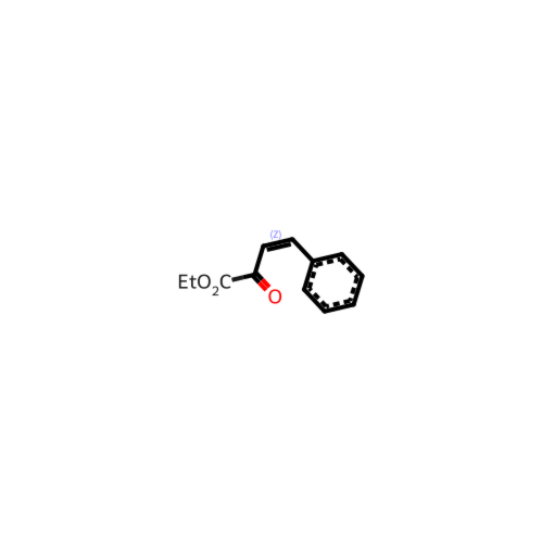 CCOC(=O)C(=O)/C=C\c1ccccc1